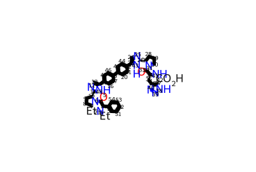 CCN(CC)[C@@H](C(=O)N1CCC[C@H]1c1ncc(-c2ccc(-c3ccc(-c4cnc([C@@H]5CCCN5C(=O)[C@H](Cc5c[nH]nn5)NC(=O)O)[nH]4)cc3)cc2)[nH]1)c1ccccc1